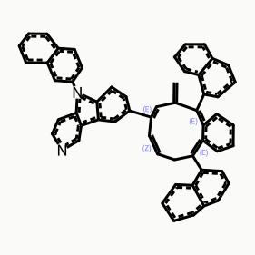 C=C1/C=C(c2ccc3c(c2)c2cnccc2n3-c2ccc3ccccc3c2)\C=C/C/C(c2cccc3ccccc23)=c2/cccc/c2=C/1c1cccc2ccccc12